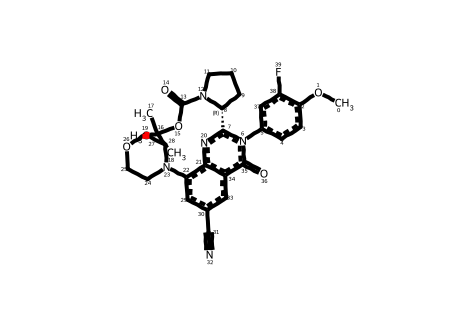 COc1ccc(-n2c([C@H]3CCCN3C(=O)OC(C)(C)C)nc3c(N4CCOCC4)cc(C#N)cc3c2=O)cc1F